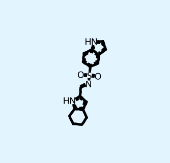 O=S(=O)(N=Cc1cc2c([nH]1)CCCC2)c1ccc2[nH]ccc2c1